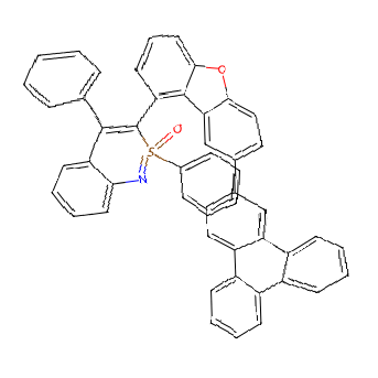 O=S1(c2ccccc2)=Nc2ccccc2C(c2ccccc2)=C1c1cccc2oc3ccc(-c4ccc5c6ccccc6c6ccccc6c5c4)cc3c12